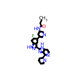 CCCC(=O)Nc1cncc(-c2cc3c(-c4nc5c(-c6ccccn6)nccc5[nH]4)n[nH]c3cc2F)c1